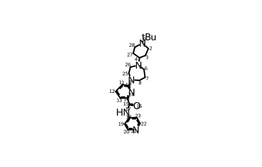 CC(C)(C)N1CCC(N2CCCN(c3cccc(C(=O)Nc4ccncc4)n3)CC2)CC1